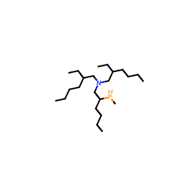 CCCCC(CC)CN(CC(CC)CCCC)CC(CCCC)PC